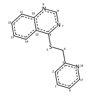 c1ccc(CSc2ncnc3ccccc23)nc1